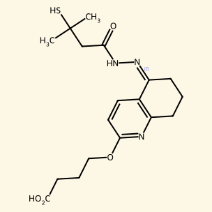 CC(C)(S)CC(=O)N/N=C1/CCCc2nc(OCCCC(=O)O)ccc21